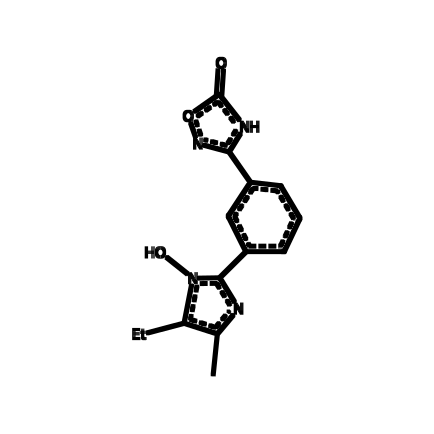 CCc1c(C)nc(-c2cccc(-c3noc(=O)[nH]3)c2)n1O